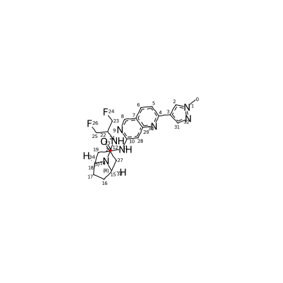 Cn1cc(-c2ccc3cnc(NC(=O)N4[C@@H]5CC[C@H]4CC(NC(CF)CF)C5)cc3n2)cn1